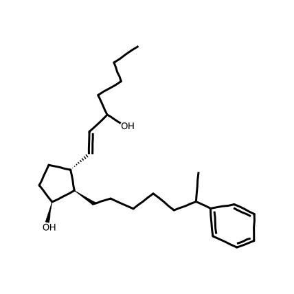 CCCCC(O)C=C[C@H]1CC[C@H](O)[C@@H]1CCCCCC(C)c1ccccc1